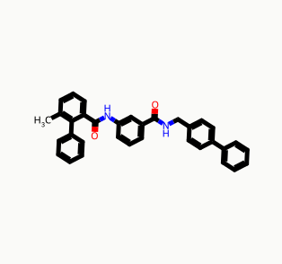 Cc1cccc(C(=O)Nc2cccc(C(=O)NCc3ccc(-c4ccccc4)cc3)c2)c1-c1ccccc1